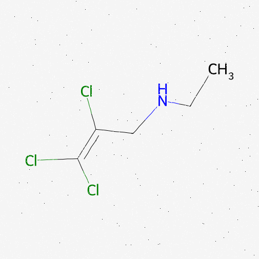 CCNCC(Cl)=C(Cl)Cl